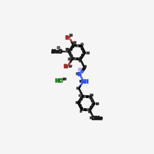 COc1ccc(CN/N=C/c2ccc(Br)c(OC)c2Br)cc1.Cl